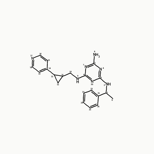 CC(Nc1nc(N)nc(NCC2CC2c2ccncc2)n1)c1ccccc1